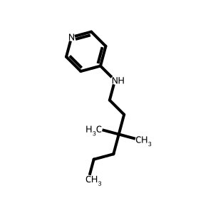 CCCC(C)(C)CCNc1ccncc1